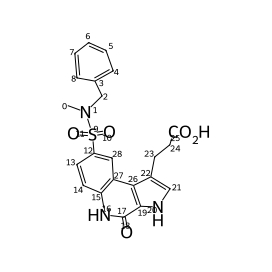 CN(Cc1ccccc1)S(=O)(=O)c1ccc2[nH]c(=O)c3[nH]cc(CCC(=O)O)c3c2c1